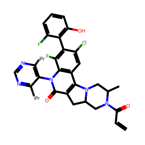 C=CC(=O)N1CC2Cc3c(c4cc(Cl)c(-c5c(O)cccc5F)c(F)c4n(-c4c(C(C)C)ncnc4C(C)C)c3=O)N2CC1C